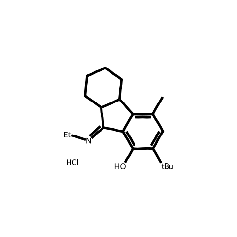 CCN=C1c2c(O)c(C(C)(C)C)cc(C)c2C2CCCCC12.Cl